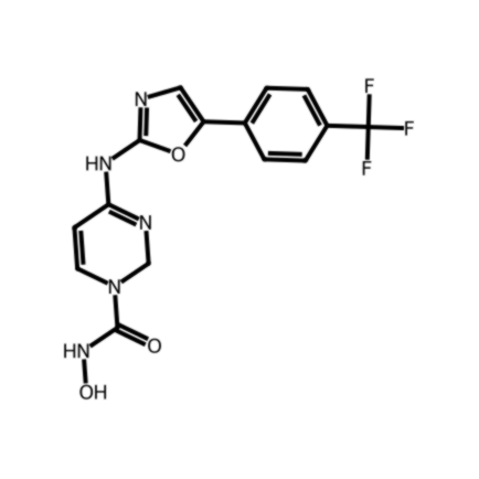 O=C(NO)N1C=CC(Nc2ncc(-c3ccc(C(F)(F)F)cc3)o2)=NC1